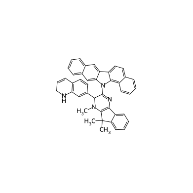 CN1C2=C(N=C(n3c4cc5ccccc5cc4c4ccc5ccccc5c43)C1c1ccc3c(c1)NCC=C3)c1ccccc1C2(C)C